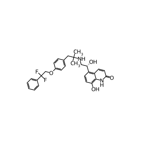 CC(C)(Cc1ccc(OCC(F)(F)c2ccccc2)cc1)NC[C@H](O)c1ccc(O)c2[nH]c(=O)ccc12